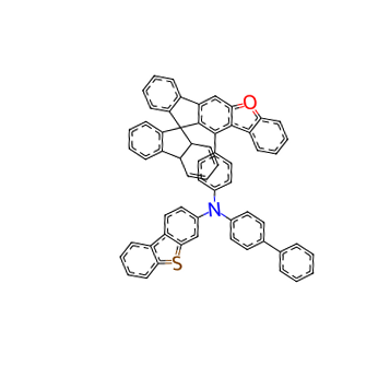 C1=CC2c3ccccc3C3(c4ccccc4-c4cc5oc6ccccc6c5c(-c5ccc(N(c6ccc(-c7ccccc7)cc6)c6ccc7c(c6)sc6ccccc67)cc5)c43)C2C=C1